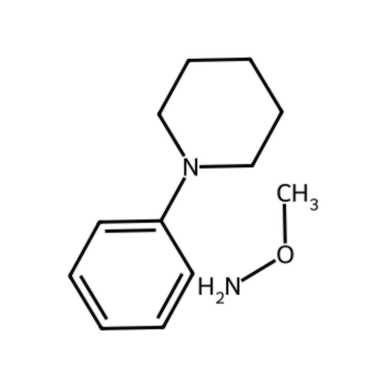 CON.c1ccc(N2CCCCC2)cc1